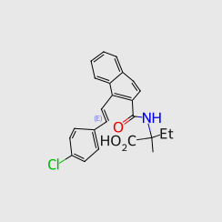 CCC(C)(NC(=O)c1ccc2ccccc2c1/C=C/c1ccc(Cl)cc1)C(=O)O